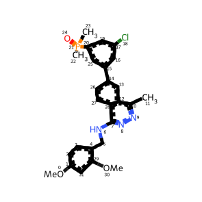 COc1ccc(CNc2nnc(C)c3cc(-c4cc(Cl)cc(P(C)(C)=O)c4)ccc23)c(OC)c1